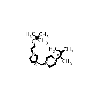 CC(C)[C@@H](C)N1CCN(C[C@H]2CCN(CCOC(C)(C)C)C2)CC1